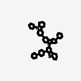 c1ccc(-c2ccc(-c3cc(-n4c5ccc(-c6ccccc6)cc5c5cc(-c6ccc7c(c6)c6ccccc6n7-c6ccccc6)ccc54)cc4c3sc3ccccc34)cc2)cc1